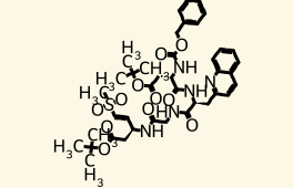 CC(C)(C)OC(=O)C[C@@H](/C=C/S(C)(=O)=O)NC(=O)CNC(=O)[C@H](Cc1ccc2ccccc2n1)NC(=O)[C@H](CC(=O)OC(C)(C)C)NC(=O)OCc1ccccc1